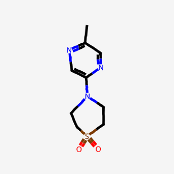 Cc1cnc(N2CCS(=O)(=O)CC2)cn1